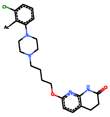 CC(=O)c1c(Cl)cccc1N1CCN(CCCCOc2ccc3c(n2)NC(=O)CC3)CC1